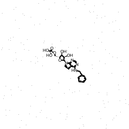 O=P(O)(O)OC[C@H]1OC(n2ccc3c(NCc4ccccc4)ncnc32)[C@H](O)[C@@H]1O